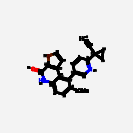 C#CC1(c2ccc(-c3c(OC)ccc4[nH]c(=O)c5sccc5c34)cn2)CC1